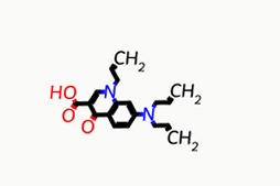 C=CCN(CC=C)c1ccc2c(=O)c(C(=O)O)cn(CC=C)c2c1